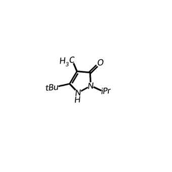 Cc1c(C(C)(C)C)[nH]n(C(C)C)c1=O